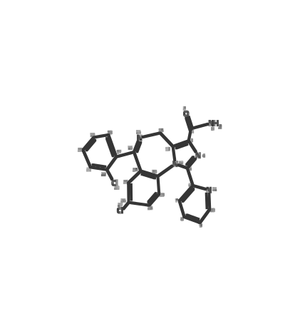 NC(=O)c1nc(-c2ccccn2)n2c1CN=C(c1ccccc1Cl)c1cc(Cl)ccc1-2